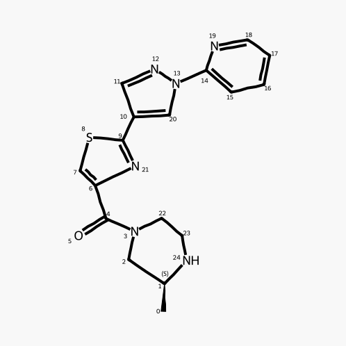 C[C@H]1CN(C(=O)c2csc(-c3cnn(-c4ccccn4)c3)n2)CCN1